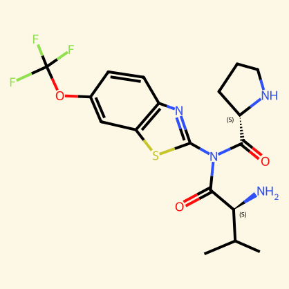 CC(C)[C@H](N)C(=O)N(C(=O)[C@@H]1CCCN1)c1nc2ccc(OC(F)(F)F)cc2s1